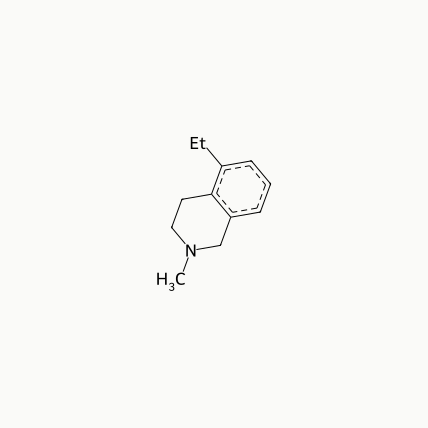 CCc1cccc2c1CCN(C)C2